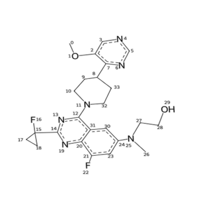 COc1cncnc1C1CCN(c2nc(C3(F)CC3)nc3c(F)cc(N(C)CCO)cc23)CC1